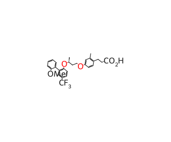 COc1ccccc1-c1cc(C(F)(F)F)ccc1O[C@@H](C)CCOc1ccc(CCC(=O)O)c(C)c1